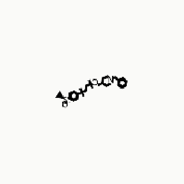 CC(C)(CCC(C)(C)c1ccc([S+]([O-])C2CC2)cc1)OCC1CCN(Cc2ccccc2)CC1